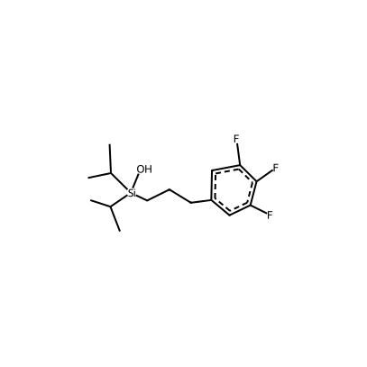 CC(C)[Si](O)(CCCc1cc(F)c(F)c(F)c1)C(C)C